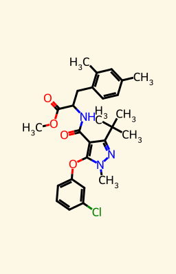 COC(=O)C(Cc1ccc(C)cc1C)NC(=O)c1c(C(C)(C)C)nn(C)c1Oc1cccc(Cl)c1